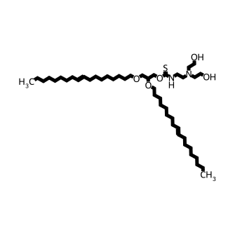 CCCCCCCCC=CCCCCCCCCOCC(COC(=S)NCCN(CCO)CCO)OCCCCCCCCC=CCCCCCCCC